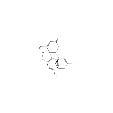 C=C(C)C1=CC(=O)C[C@@H](c2cccc(Cl)c2)[C@]12C(=O)Nc1cc(Cl)ccc12